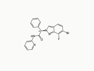 O=C(Nc1ccccn1)[C@@H](c1ccccc1)n1cc2ccc(Br)c(F)c2n1